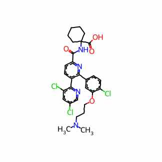 CN(C)CCCOc1cc(-c2nc(C(=O)NC3(C(=O)O)CCCCC3)ccc2-c2ncc(Cl)cc2Cl)ccc1Cl